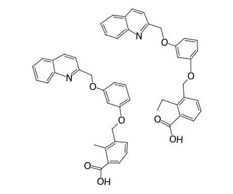 CCc1c(COc2cccc(OCc3ccc4ccccc4n3)c2)cccc1C(=O)O.Cc1c(COc2cccc(OCc3ccc4ccccc4n3)c2)cccc1C(=O)O